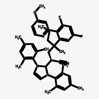 CCCC(C)(C[C@@H](C#N)C1N(c2c(C)cc(C)cc2C)C=CN1c1c(C)cc(C)cc1C)c1cc(F)cc(F)c1-c1cc(OC)ccn1